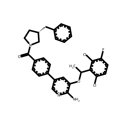 CC(Oc1cc(-c2ccc(C(=O)N3CC[C@H](Cc4ccccc4)C3)cc2)cnc1N)c1c(Cl)ccc(F)c1Cl